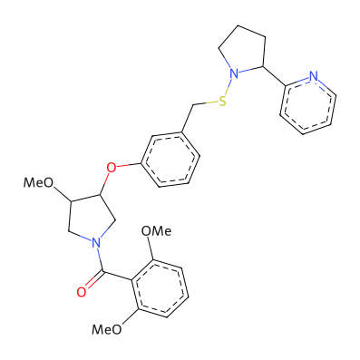 COc1cccc(OC)c1C(=O)N1CC(OC)C(Oc2cccc(CSN3CCCC3c3ccccn3)c2)C1